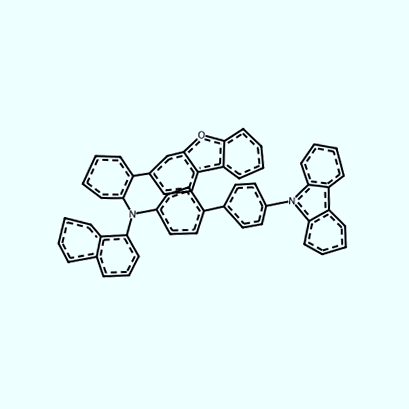 c1ccc(N(c2ccc(-c3ccc(-n4c5ccccc5c5ccccc54)cc3)cc2)c2cccc3ccccc23)c(-c2ccc3c(c2)oc2ccccc23)c1